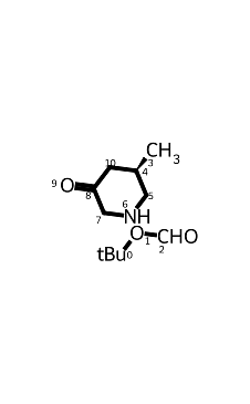 CC(C)(C)OC=O.C[C@H]1CNCC(=O)C1